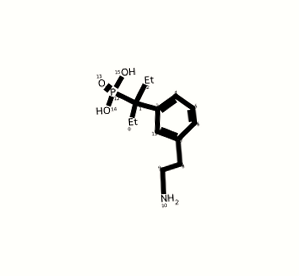 CCC(CC)(c1cccc(CCN)c1)P(=O)(O)O